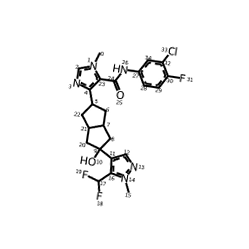 Cn1cnc(C2CC3CC(O)(c4cnn(C)c4C(F)F)CC3C2)c1C(=O)Nc1ccc(F)c(Cl)c1